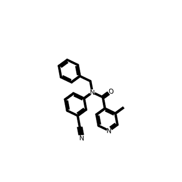 Cc1cnccc1C(=O)N(Cc1ccccc1)c1cccc(C#N)c1